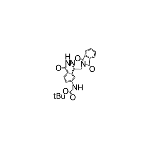 CC(C)(C)OC(=O)Nc1ccc2c(=O)[nH]nc(CN3C(=O)c4ccccc4C3=O)c2c1